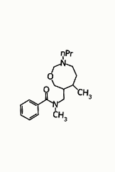 CCCN1CCC(C)C(CN(C)C(=O)c2ccccc2)COC1